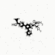 CCN(C(N)=O)c1nc2cc(-c3cnc(C(O)C4CC4)nc3)cc(-c3ccccn3)c2s1